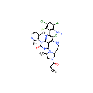 C=CC(=O)N1CC(C)N2c3nc(=O)n(-c4c(C)ccnc4C(C)C)c4nc(-c5c(N)c(Cl)cc(Cl)c5F)c(Cl)c(c34)NCCC2C1